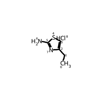 CCc1csc(N)n1.Cl